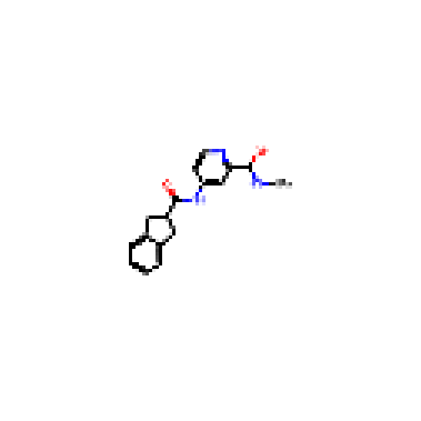 CC(C)(C)NC(O)c1cc(NC(=O)C2Cc3ccccc3C2)ccn1